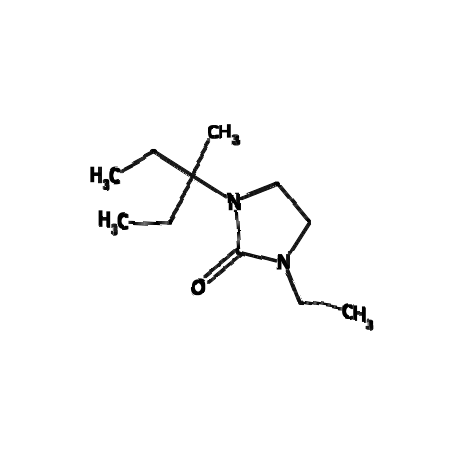 CCN1CCN(C(C)(CC)CC)C1=O